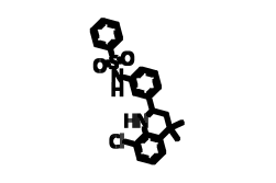 CC1(C)CC(c2cccc(NS(=O)(=O)c3ccccc3)c2)Nc2c(Cl)cccc21